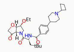 CCO[C@H]1CN(C(=O)[C@H](CC(C)(C)C)NC(=O)c2ccc(C3CCN(C4CCC4)CC3)cc2)[C@@H]2C(=O)CO[C@H]12